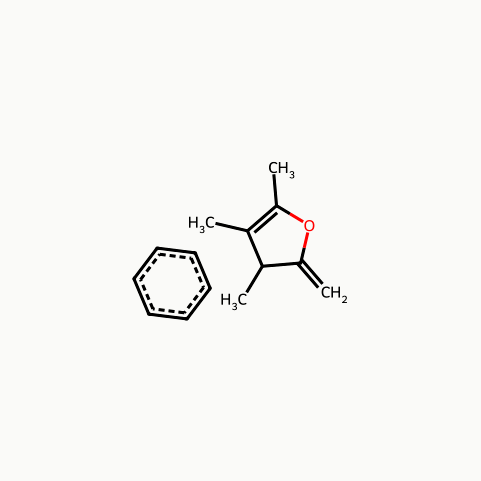 C=C1OC(C)=C(C)C1C.c1ccccc1